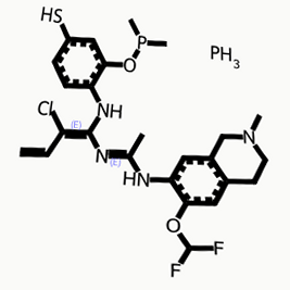 C=C/C(Cl)=C(\N=C(/C)Nc1cc2c(cc1OC(F)F)CCN(C)C2)Nc1ccc(S)cc1OP(C)C.P